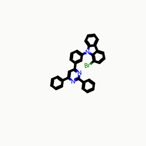 Brc1cccc2c3ccccc3n(-c3cccc(-c4cc(-c5ccccc5)nc(-c5ccccc5)n4)c3)c12